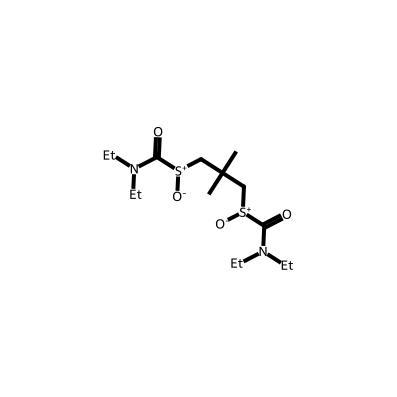 CCN(CC)C(=O)[S+]([O-])CC(C)(C)C[S+]([O-])C(=O)N(CC)CC